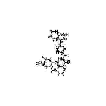 Cc1ccc(Cn2cccc(C(=O)NCc3noc(-c4c[nH]c5ncccc45)n3)c2=O)cc1Cl